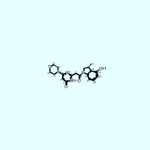 C[C@@H]1CN(C(=O)Cc2nc(N3CCOCC3)cc(=O)[nH]2)c2cccc(O)c21